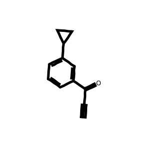 C#CC(=O)c1cccc(C2CC2)c1